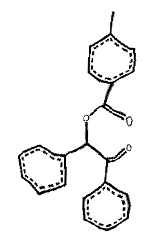 Cc1ccc(C(=O)OC(C(=O)c2ccccc2)c2ccccc2)cc1